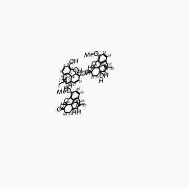 CN1CC[C@]23c4c5ccc(O)c4O[C@H]2[C@@H](O)C=C[C@H]3[C@H]1C5.COc1ccc2c3c1O[C@H]1C(=O)CC[C@@]4(O)[C@@H](C2)N(C)CC[C@]314.COc1ccc2c3c1O[C@H]1C(=O)CC[C@H]4[C@@H](C2)N(C)CC[C@]314